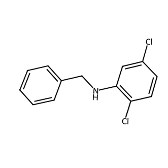 Clc1ccc(Cl)c(NCc2ccccc2)c1